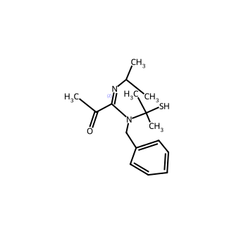 CC(=O)/C(=N/C(C)C)N(Cc1ccccc1)C(C)(C)S